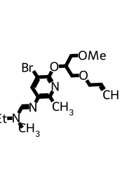 C=CCOCC(COC)Oc1nc(C)c(/N=C/N(C)CC)cc1Br